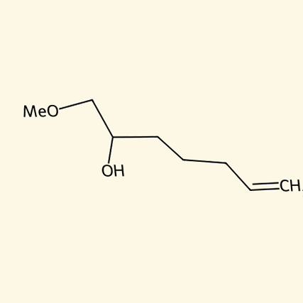 C=CCCCC(O)COC